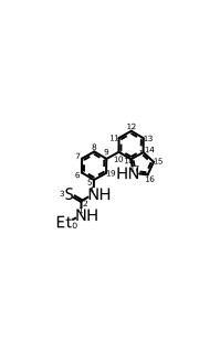 CCNC(=S)Nc1cccc(-c2cccc3cc[nH]c23)c1